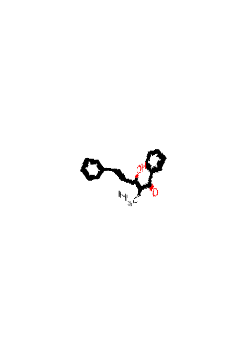 CC(C(=O)c1ccccc1)C(O)C=Cc1ccccc1